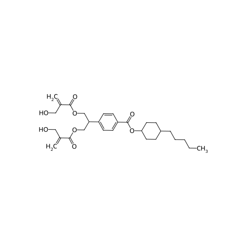 C=C(CO)C(=O)OCC(COC(=O)C(=C)CO)c1ccc(C(=O)OC2CCC(CCCCC)CC2)cc1